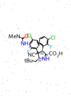 CC(C)(C)C[C@@H]1N[C@@H](C(=O)O)[C@H](c2cccc(Cl)c2F)[C@@]1(C#N)c1ccc(Cl)cc1F.CNC(N)=O